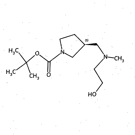 CN(CCO)C[C@@H]1CCN(C(=O)OC(C)(C)C)C1